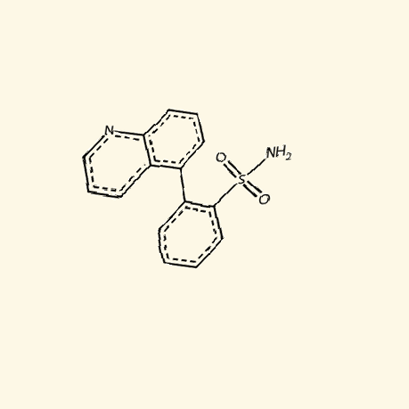 NS(=O)(=O)c1ccccc1-c1cccc2ncccc12